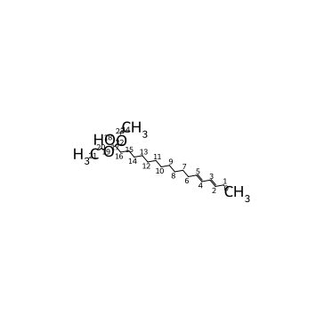 CC/C=C/C=C/CCCCCCCCCCCC(O)(OCC)OCC